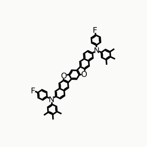 Cc1cc(N(c2ccc(F)cc2)c2ccc3cc4c(cc3c2)oc2cc3c(cc24)oc2cc4cc(N(c5ccc(F)cc5)c5cc(C)c(C)c(C)c5)ccc4cc23)cc(C)c1C